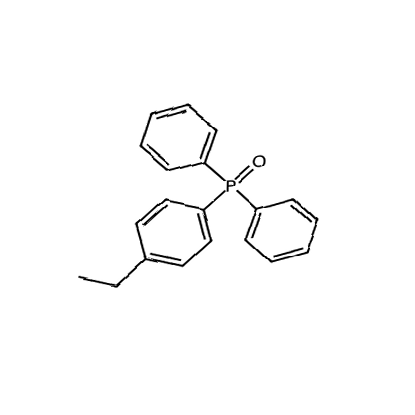 CCc1ccc(P(=O)(c2ccccc2)c2ccccc2)cc1